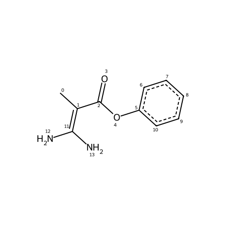 CC(C(=O)Oc1ccccc1)=C(N)N